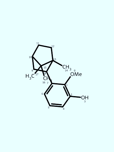 COc1c(O)cccc1C1CC2CCC1(C)C2(C)C